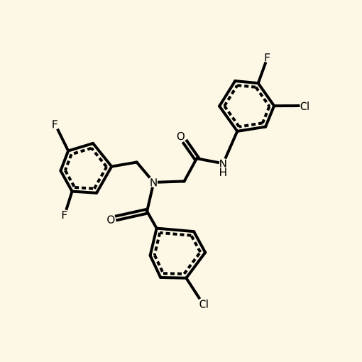 O=C(CN(Cc1cc(F)cc(F)c1)C(=O)c1ccc(Cl)cc1)Nc1ccc(F)c(Cl)c1